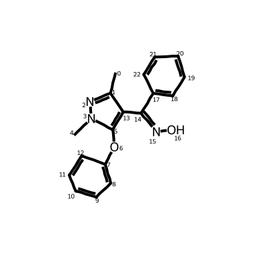 Cc1nn(C)c(Oc2ccccc2)c1C(=NO)c1ccccc1